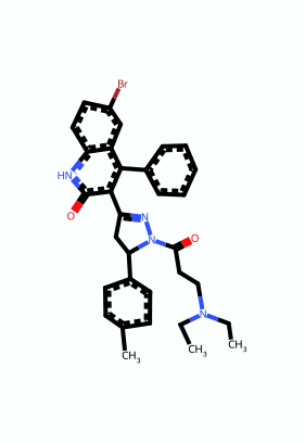 CCN(CC)CCC(=O)N1N=C(c2c(-c3ccccc3)c3cc(Br)ccc3[nH]c2=O)CC1c1ccc(C)cc1